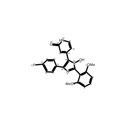 COc1cccc(OC)c1-c1nc(-c2ccc(F)cc2)c(-c2cc[nH]c(=O)c2)n1O